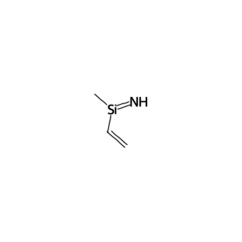 C=C[Si](C)=N